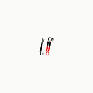 [O]=[Ce].[Ta][Ir]